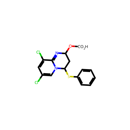 O=C(O)OC1CC(Sc2ccccc2)N2C=C(Cl)C=C(Cl)C2=N1